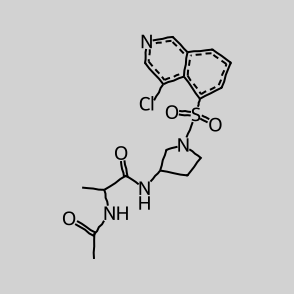 CC(=O)NC(C)C(=O)NC1CCN(S(=O)(=O)c2cccc3cncc(Cl)c23)C1